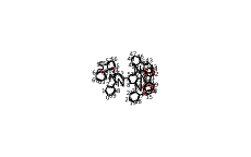 c1ccc(-c2nc(-c3cc(-n4c5ccccc5c5ccccc54)c(-n4c5ccccc5c5ccccc54)c(-n4c5ccccc5c5ccccc54)c3)cc(-c3cccc4sc5ccccc5c34)n2)cc1